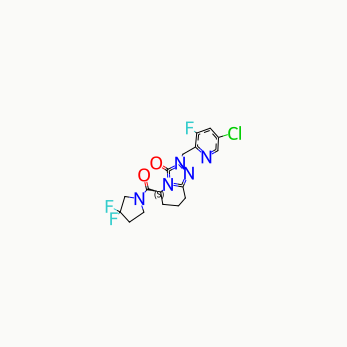 O=C([C@@H]1CCCc2nn(Cc3ncc(Cl)cc3F)c(=O)n21)N1CCC(F)(F)C1